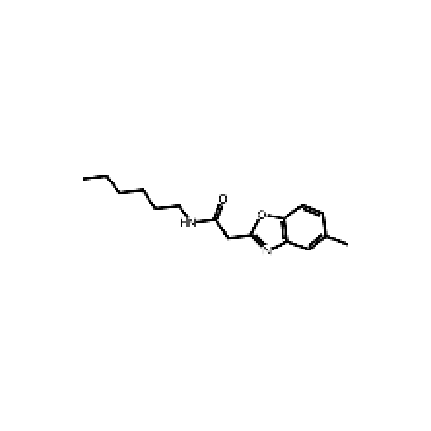 CCCCCCNC(=O)Cc1nc2cc(C)ccc2o1